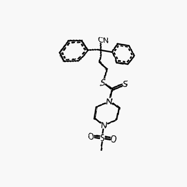 CS(=O)(=O)N1CCN(C(=S)SCCC(C#N)(c2ccccc2)c2ccccc2)CC1